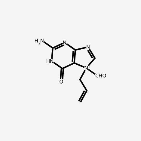 C=CC[N+]1(C=O)C=Nc2nc(N)[nH]c(=O)c21